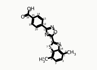 Cc1ccc(C)c2sc(-c3nc(-c4ccc(C(=O)O)cc4)no3)nc12